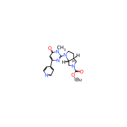 Cn1c(N2CC[C@@H]3CN(C(=O)OC(C)(C)C)C[C@@H]32)nc(-c2ccncc2)cc1=O